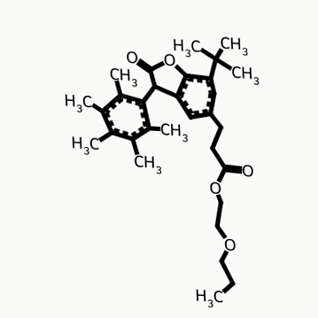 CCCOCCOC(=O)CCc1cc2c(c(C(C)(C)C)c1)OC(=O)C2c1c(C)c(C)c(C)c(C)c1C